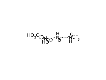 O=C(CCCCCNC(=O)C(F)(F)F)NCCc1ccc(O)c(/N=N/c2ccc(C(=O)O)cc2)c1